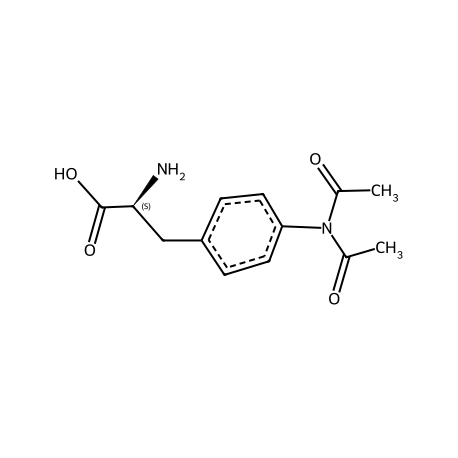 CC(=O)N(C(C)=O)c1ccc(C[C@H](N)C(=O)O)cc1